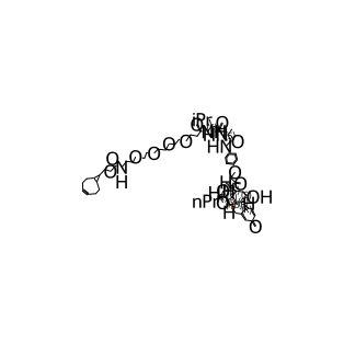 CCC[C@H]1O[C@H](C(=O)COc2ccc(NC(=O)[C@H](C)NC(=O)[C@@H](NC(=O)CCOCCOCCOCCOCCNC(=O)OCC3C4CCC#CCCC43)C(C)C)cc2)[C@@]2(C)C[C@H](O)[C@@H]3[C@@]4(CCC5=CC(=O)C=C[C@@]53C)[C@@H](C[C@@H]24)O1